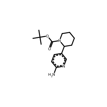 CC(C)(C)OC(=O)N1CCCCC1c1ccc(N)nc1